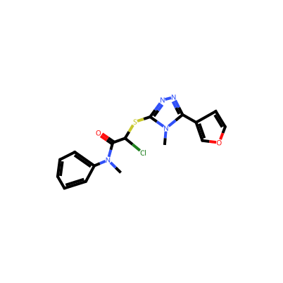 CN(C(=O)C(Cl)Sc1nnc(-c2ccoc2)n1C)c1ccccc1